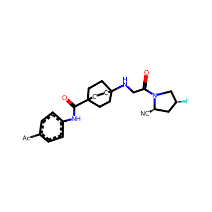 CC(=O)c1ccc(NC(=O)C23CCC(NCC(=O)N4C[C@@H](F)C[C@H]4C#N)(CC2)CC3)cc1